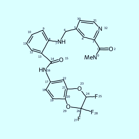 CNC(=O)c1cc(CNc2ccccc2C(=O)Nc2ccc3c(c2)OC(F)C(F)(F)O3)ccn1